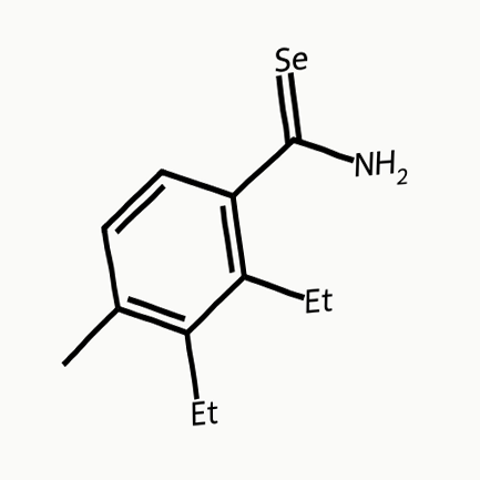 CCc1c(C)ccc(C(N)=[Se])c1CC